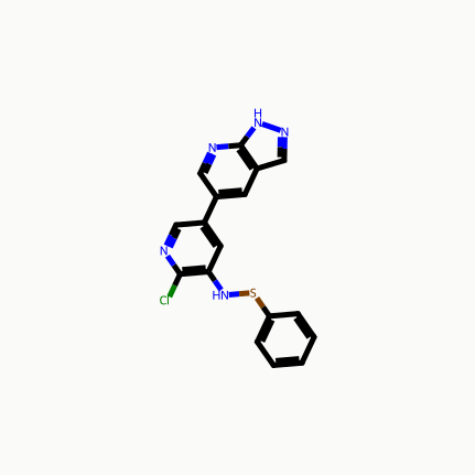 Clc1ncc(-c2cnc3[nH]ncc3c2)cc1NSc1ccccc1